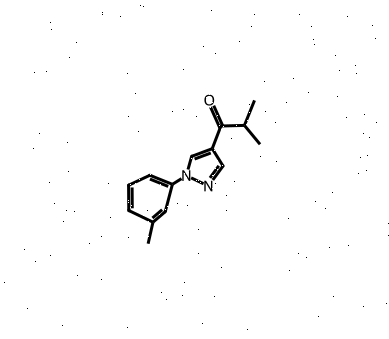 Cc1cccc(-n2cc(C(=O)C(C)C)cn2)c1